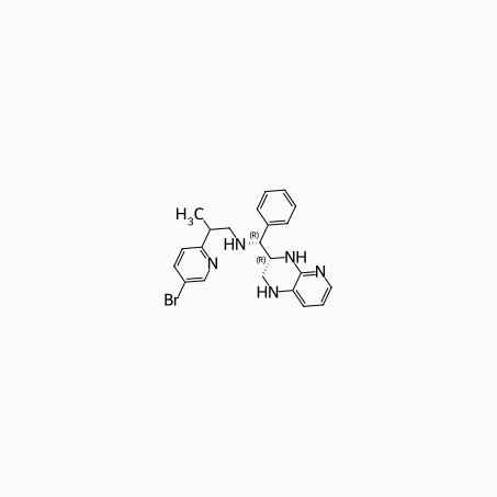 CC(CN[C@H](c1ccccc1)[C@H]1CNc2cccnc2N1)c1ccc(Br)cn1